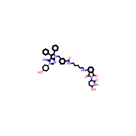 N=c1c2c(-c3ccccc3)c(-c3ccccc3)n(Cc3cccc(C(=O)NCCCCCNc4cccc5c4C(=O)N(C4CCC(O)NC4=O)C5=O)c3)c2ncn1[C@H]1CC[C@H](O)CC1